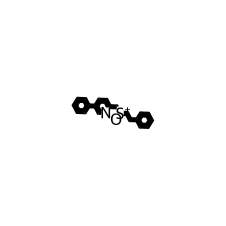 [O-][S+](CCc1ccccc1)Cc1ccc(-c2ccccc2)cn1